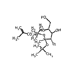 C=C(C)C(=O)O.CCC(C(O)C(O)CO)[Si](C)(O[Si](C)(C)C)O[Si](C)(C)C